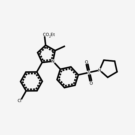 CCOC(=O)c1cc(-c2ccc(Cl)cc2)n(-c2cccc(S(=O)(=O)N3CCCC3)c2)c1C